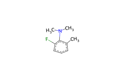 Cc1cccc(F)c1N(C)C